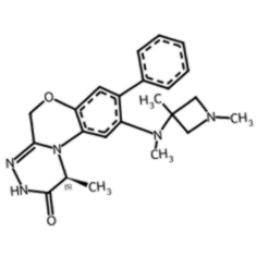 C[C@H]1C(=O)NN=C2COc3cc(-c4ccccc4)c(N(C)C4(C)CN(C)C4)cc3N21